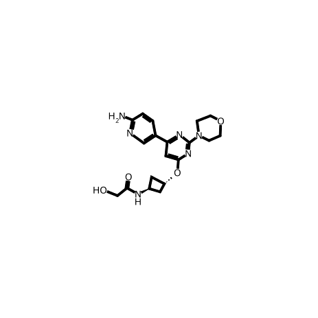 Nc1ccc(-c2cc(O[C@H]3C[C@H](NC(=O)CO)C3)nc(N3CCOCC3)n2)cn1